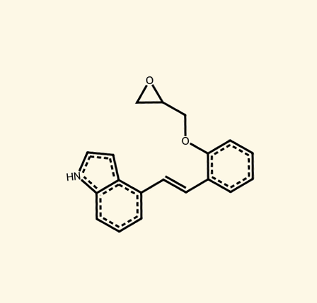 C(=C\c1cccc2[nH]ccc12)/c1ccccc1OCC1CO1